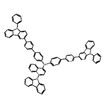 c1ccc(-n2c3ccccc3c3cc(-c4ccc(-c5ccc(N(c6ccc(-c7ccc(-c8ccc9c(c8)c8ccccc8n9-c8ccccc8)cc7)cc6)c6ccc(-n7c8ccccc8c8ccccc87)c7ccccc67)cc5)cc4)ccc32)cc1